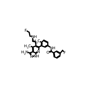 Cc1ccc(NC(=O)c2cccc(CF)c2)cc1-c1nc2[nH]nc(N)c2c(C)c1CCNCCF